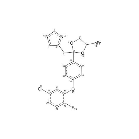 CCCC1COC(Cn2cncn2)(c2ccc(Oc3cc(Cl)ccc3F)cc2)O1